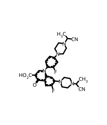 CC(C#N)N1CCN(c2ccc(-n3cc(C(=O)O)c(=O)c4cc(F)c(N5CCN(C(C)C#N)CC5)cc43)c(F)c2)CC1